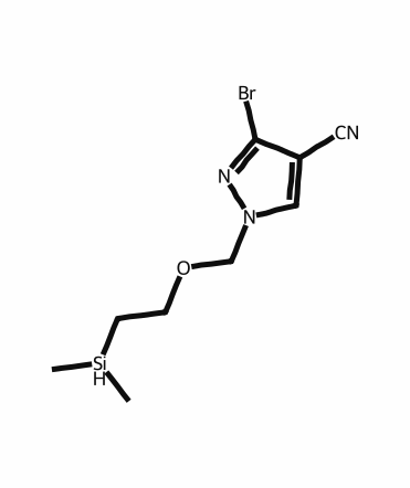 C[SiH](C)CCOCn1cc(C#N)c(Br)n1